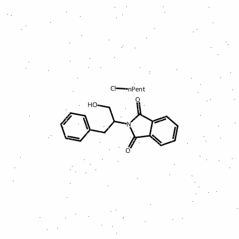 CCCCCCl.O=C1c2ccccc2C(=O)N1C(CO)Cc1ccccc1